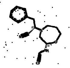 N#C[C@H](Cc1ccccc1)N1CCCO[C@H](NC=O)C1